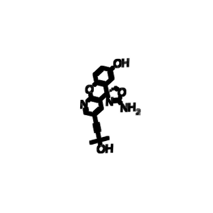 CC(C)(O)C#Cc1cnc2c(c1)[C@@]1(COC(N)=N1)c1cc(O)ccc1O2